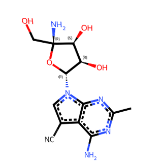 Cc1nc(N)c2c(C#N)cn([C@@H]3O[C@](N)(CO)[C@@H](O)[C@H]3O)c2n1